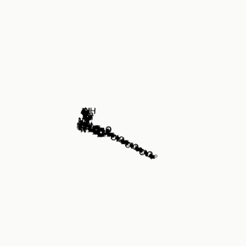 CCOCCOCCOCCOCCOCCOCCC(=O)N1CCc2cc(Cn3nc(-c4cnc5[nH]ccc5c4)c4c(N)ncnc43)ccc2C1